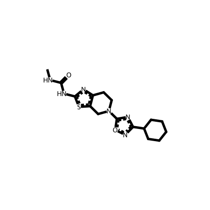 CNC(=O)Nc1nc2c(s1)CN(c1nc(C3CCCCC3)no1)CC2